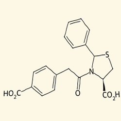 O=C(O)c1ccc(CC(=O)N2C(c3ccccc3)SC[C@H]2C(=O)O)cc1